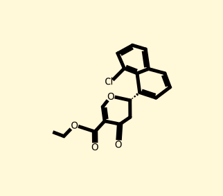 CCOC(=O)C1=CO[C@H](c2cccc3cccc(Cl)c23)CC1=O